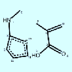 C=C(C)C(=O)O.CNc1cccs1